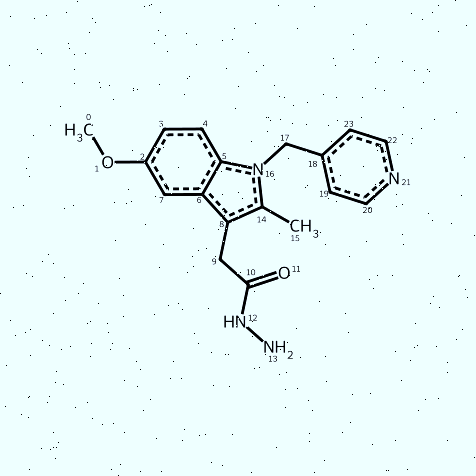 COc1ccc2c(c1)c(CC(=O)NN)c(C)n2Cc1ccncc1